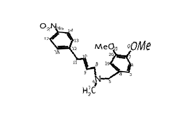 COc1ccc(CN(C)C/C=C/Cc2ccc([N+](=O)[O-])cc2)cc1OC